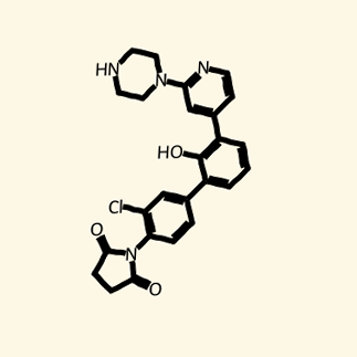 O=C1CCC(=O)N1c1ccc(-c2cccc(-c3ccnc(N4CCNCC4)c3)c2O)cc1Cl